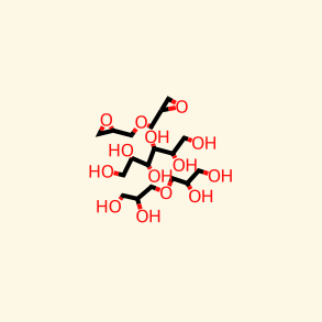 C(OCC1CO1)C1CO1.OCC(O)C(O)C(O)C(O)CO.OCC(O)COCC(O)CO